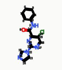 O=C(Nc1ccccc1)c1nc(-n2ccnc2)ncc1Cl